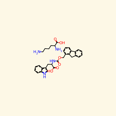 NCCCCC(N)C(=O)O.O=C(NC(Cc1c[nH]c2ccccc12)C(=O)O)OCc1cccc2c1Cc1ccccc1-2